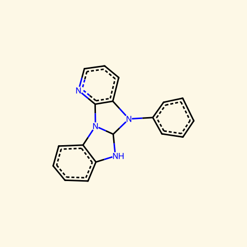 c1ccc(N2c3cccnc3N3c4ccccc4NC23)cc1